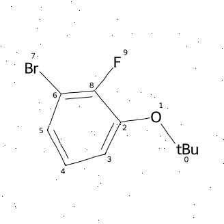 CC(C)(C)Oc1cccc(Br)c1F